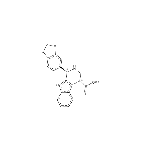 COC(=O)[C@H]1CN[C@H](c2ccc3c(c2)OCO3)c2[nH]c3ccccc3c21